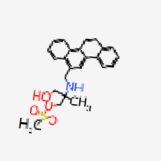 CC(CO)(COS(C)(=O)=O)NCc1cc2c3ccccc3ccc2c2ccccc12